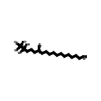 [O-][S+](CCCCCCCCCCCO)CCCC(F)(F)C(F)(F)F